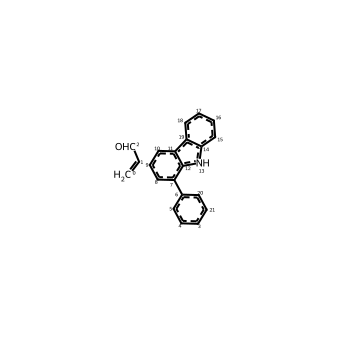 C=CC=O.c1ccc(-c2cccc3c2[nH]c2ccccc23)cc1